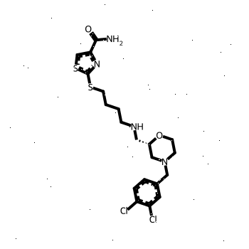 NC(=O)c1csc(SCCCCNC[C@H]2CN(Cc3ccc(Cl)c(Cl)c3)CCO2)n1